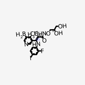 Bc1cncc(/C(Nc2ccc(I)cc2F)=C(\C)C(=O)NOC[C@H](O)CO)c1C